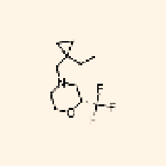 CCC1(CN2CCO[C@@H](C(F)(F)F)C2)CC1